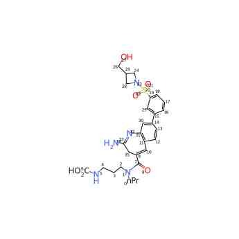 CCCN(CCCNC(=O)O)C(=O)C1=Cc2ccc(-c3cccc(S(=O)(=O)N4CC(CO)C4)c3)cc2N=C(N)C1